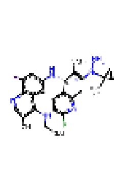 CN/C(=C\N(N)C1(C(F)(F)F)CC1)[C@@H](Nc1cc(I)c2ncc(C#N)c(NCC(C)(C)C)c2c1)c1ccc(F)nc1C